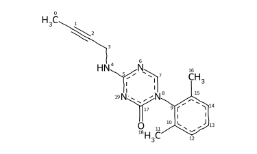 CC#CCNc1ncn(-c2c(C)cccc2C)c(=O)n1